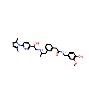 COc1cc(CNC(=O)Cc2cccc(CC(C)NC[C@H](O)c3ccc(-n4c(C)ccc4C)nc3)c2)ccc1O